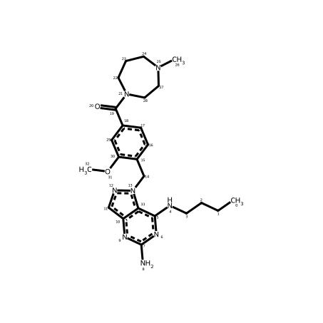 CCCCNc1nc(N)nc2cnn(Cc3ccc(C(=O)N4CCCN(C)CC4)cc3OC)c12